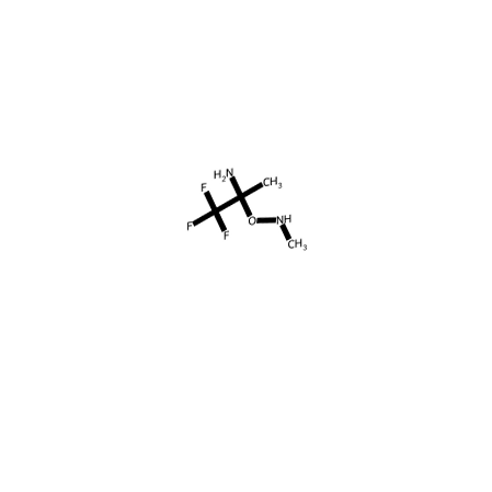 CNOC(C)(N)C(F)(F)F